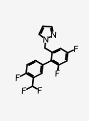 Fc1cc(F)c(-c2ccc(F)c(C(F)F)c2)c(Cn2cccn2)c1